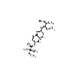 CCC(C)(C)C(=O)OC1CCC2CC(OC(OC)C(C)C)CCC2C1